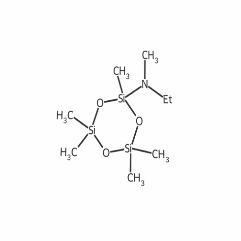 CCN(C)[Si]1(C)O[Si](C)(C)O[Si](C)(C)O1